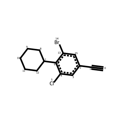 C#Cc1cc(Cl)c(C2CCCCC2)c(Br)c1